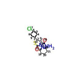 CC1C(c2ccc(Cl)cc2)SC(=O)[N+]1(C(N)=O)N1CCCCC1